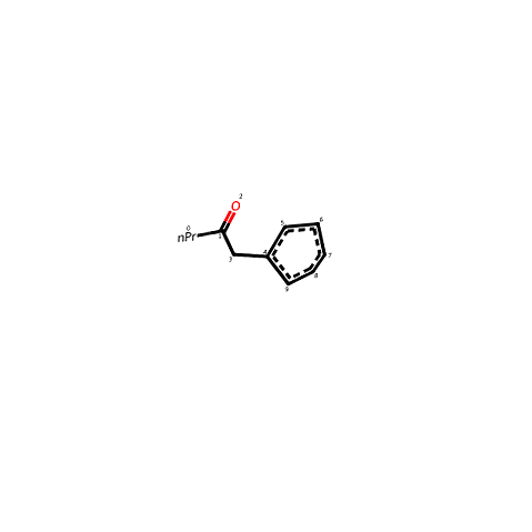 CCCC(=O)Cc1ccccc1